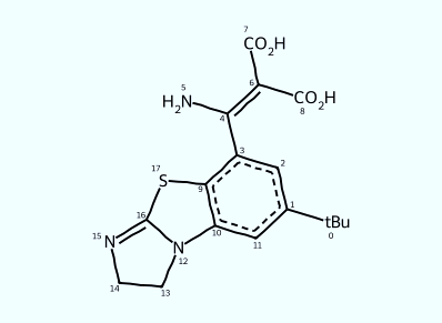 CC(C)(C)c1cc(C(N)=C(C(=O)O)C(=O)O)c2c(c1)N1CCN=C1S2